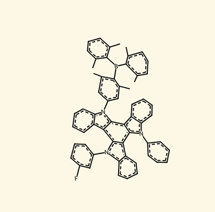 Cc1cccc(C)c1B(c1c(C)cccc1C)c1c(C)cc(-n2c3ccccc3c3c4c(c5ccccc5n4-c4cccc(F)c4)c4c(c5ccccc5n4-c4ccccc4)c32)cc1C